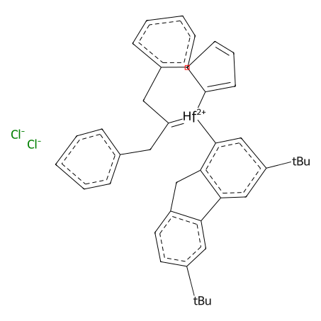 CC(C)(C)c1ccc2c(c1)-c1cc(C(C)(C)C)c[c]([Hf+2]([C]3=CC=CC3)=[C](Cc3ccccc3)Cc3ccccc3)c1C2.[Cl-].[Cl-]